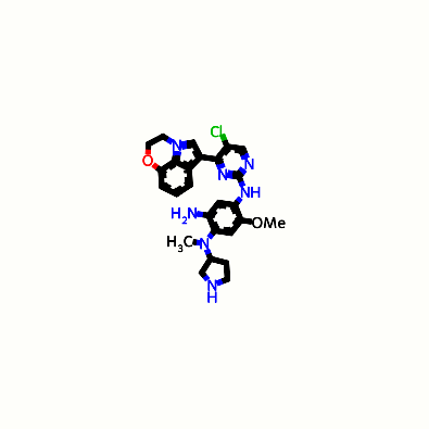 COc1cc(N(C)C2CCNC2)c(N)cc1Nc1ncc(Cl)c(-c2cn3c4c(cccc24)OCC3)n1